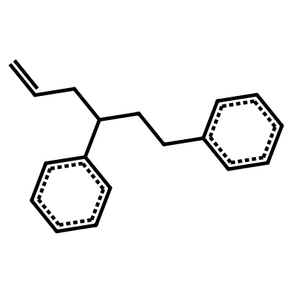 C=CCC(CCc1ccccc1)c1ccccc1